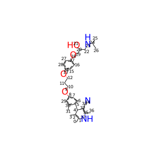 CC1=C(C)C(c2ccc(OCCCOc3ccc(OCC(O)CNC(C)C)cc3)cc2C)C(C#N)=C(C)N1